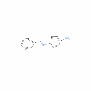 Cc1cccc(N=Nc2ccc(N)cc2)c1